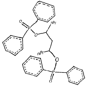 CCCC(CC(CCC)OP(=O)(c1ccccc1)c1ccccc1)OP(=O)(c1ccccc1)c1ccccc1